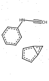 C#CNc1ccccc1.c1cc2cc-2c1